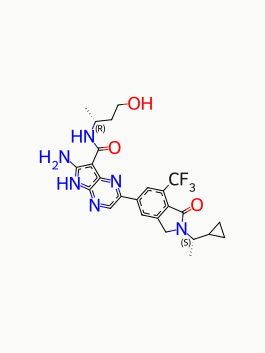 C[C@H](CCO)NC(=O)c1c(N)[nH]c2ncc(-c3cc4c(c(C(F)(F)F)c3)C(=O)N([C@@H](C)C3CC3)C4)nc12